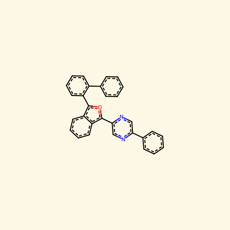 c1ccc(-c2cnc(-c3oc(-c4ccccc4-c4ccccc4)c4ccccc34)cn2)cc1